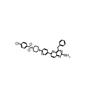 Nc1nc(Cc2ccccc2)c2nc(-c3ccc(N4CCN(S(=O)(=O)c5ccc(Cl)cc5)CC4)nc3)ccc2n1